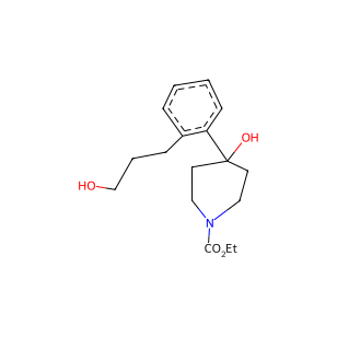 CCOC(=O)N1CCC(O)(c2ccccc2CCCO)CC1